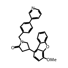 COc1ccc(C2CC(=O)N(Cc3ccc(-c4cccnc4)cc3)C2)c2c1oc1ccccc12